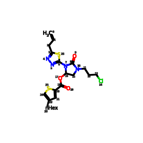 C=CCc1nnc(N2C(=O)N(CCCCl)CC2OC(=O)c2cc(CCCCCC)cs2)s1